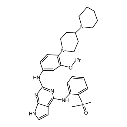 CC(C)Oc1cc(Nc2nc(Nc3ccccc3P(C)(C)=O)c3cc[nH]c3n2)ccc1N1CCC(N2CCCCC2)CC1